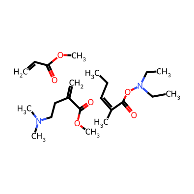 C=C(CCN(C)C)C(=O)OC.C=CC(=O)OC.CCC=C(C)C(=O)ON(CC)CC